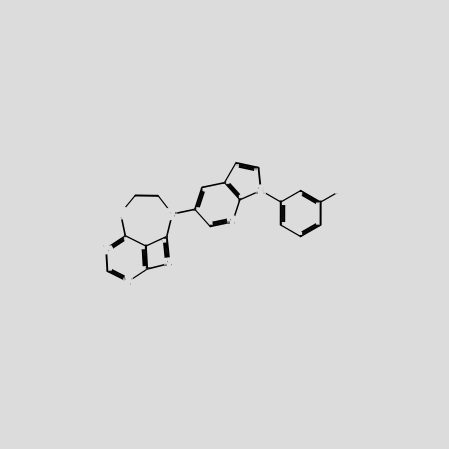 Clc1cccc(-n2ccc3cc(N4CCOc5ncnc6c5C4=N6)cnc32)c1